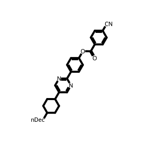 CCCCCCCCCCC1CCC(c2cnc(-c3ccc(OC(=O)c4ccc(C#N)cc4)cc3)nc2)CC1